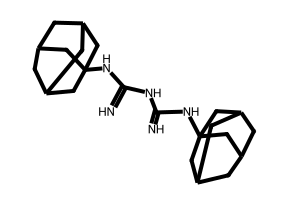 N=C(NC(=N)NC12CC3CC(CC(C3)C1)C2)NC12CC3CC(CC(C3)C1)C2